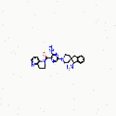 Nc1nc(N2CCC3(CC2)Cc2ccccc2C3N)cnc1C(=O)N1CCCc2ncccc21